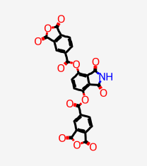 O=C(Oc1ccc(OC(=O)c2ccc3c(c2)C(=O)OC3=O)c2c1C(=O)NC2=O)c1ccc2c(c1)C(=O)OC2=O